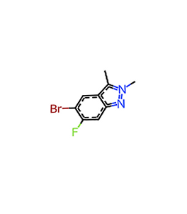 Cc1c2cc(Br)c(F)cc2nn1C